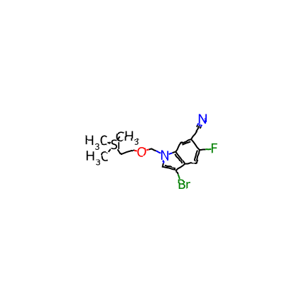 C[Si](C)(C)CCOCn1cc(Br)c2cc(F)c(C#N)cc21